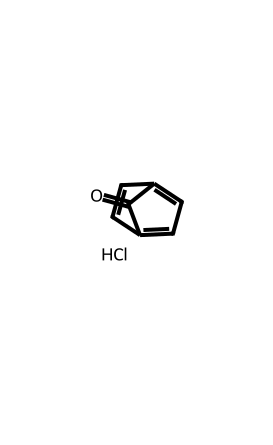 Cl.O=C1C2=CC=C1C=C2